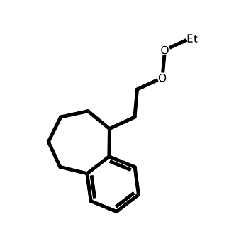 CCOOCCC1CCCCc2ccccc21